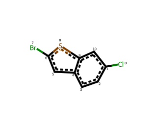 Clc1ccc2cc(Br)sc2c1